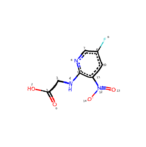 O=C(O)CNc1ncc(F)cc1[N+](=O)[O-]